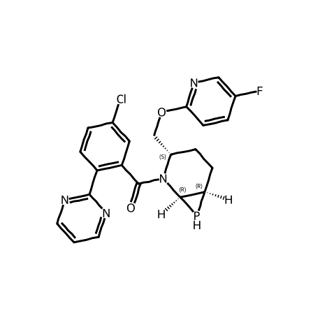 O=C(c1cc(Cl)ccc1-c1ncccn1)N1[C@H](COc2ccc(F)cn2)CC[C@H]2P[C@H]21